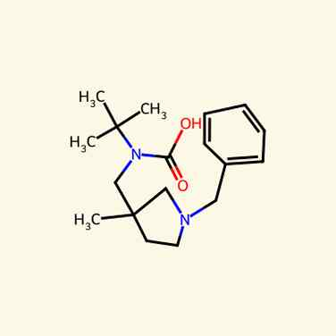 CC1(CN(C(=O)O)C(C)(C)C)CCN(Cc2ccccc2)C1